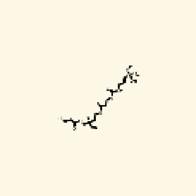 CC[C@@](C)(CCOC(=O)CCSC(=O)NCCC[Si](OC)(OC)OC)COC(=O)CCS